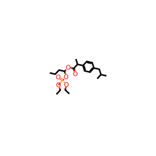 CCCC(OC(=O)C(C)c1ccc(CC(C)C)cc1)OP(=O)(OCC)OCC